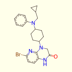 O=C1CN(C2CCC(N(CC3CC3)c3ccccc3)CC2)c2nc(Br)ccc2N1